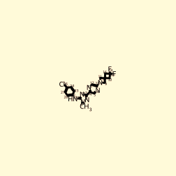 Cn1nc(-c2cnc(N3CC4(C3)CC(F)(F)C4)cn2)nc1Nc1ccc(Cl)cc1